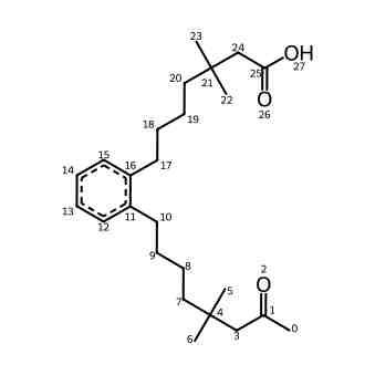 CC(=O)CC(C)(C)CCCCc1ccccc1CCCCC(C)(C)CC(=O)O